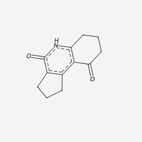 O=C1CCCc2[nH]c(=O)c3c(c21)CCC3